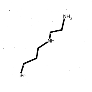 C[C](C)CCCNCCN